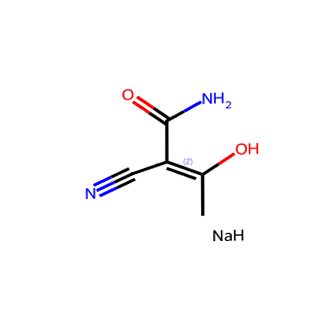 C/C(O)=C(\C#N)C(N)=O.[NaH]